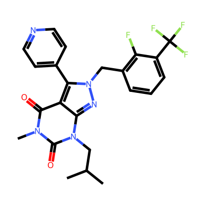 CC(C)Cn1c(=O)n(C)c(=O)c2c(-c3ccncc3)n(Cc3cccc(C(F)(F)F)c3F)nc21